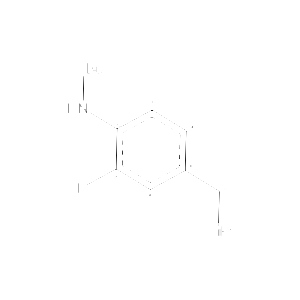 CCC(C)Nc1ccc(CC(C)C)cc1F